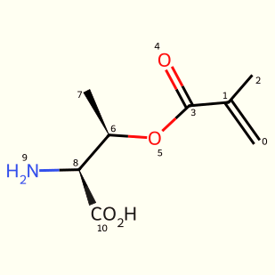 C=C(C)C(=O)O[C@H](C)[C@H](N)C(=O)O